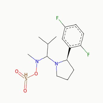 CC(C)C(N(C)O[SH](=O)=O)N1CCC[C@@H]1c1cc(F)ccc1F